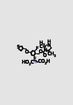 C[C@@H]1CNC[C@H](C)N1C(=O)OCc1c(F)cc(OCc2ccsc2)cc1F.O=C(O)/C=C/C(=O)O